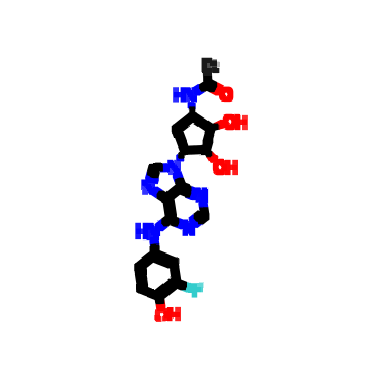 CCC(=O)N[C@H]1C[C@@H](n2cnc3c(Nc4ccc(O)c(F)c4)ncnc32)[C@H](O)[C@@H]1O